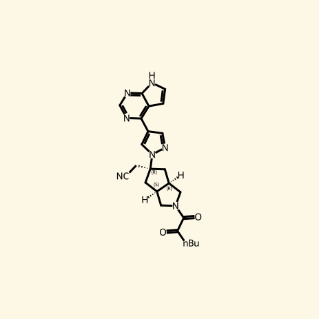 CCCCC(=O)C(=O)N1C[C@@H]2C[C@](CC#N)(n3cc(-c4ncnc5[nH]ccc45)cn3)C[C@@H]2C1